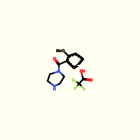 COc1ccccc1C(=O)N1CCNCC1.O=C(O)C(F)(F)F